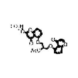 CC(=O)OC(COc1cccc2occc(=O)c12)COc1cccc2oc(OC(=O)O)cc(=O)c12